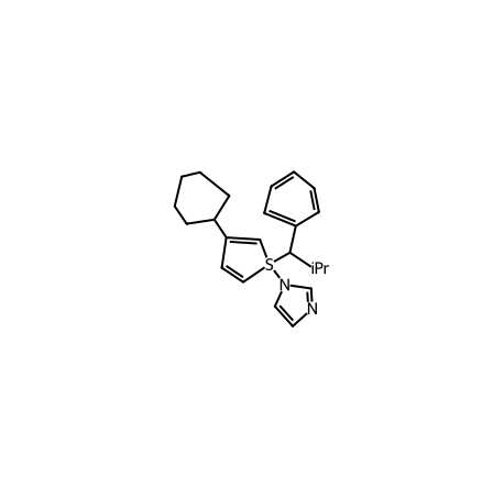 CC(C)C(c1ccccc1)S1(n2ccnc2)C=CC(C2CCCCC2)=C1